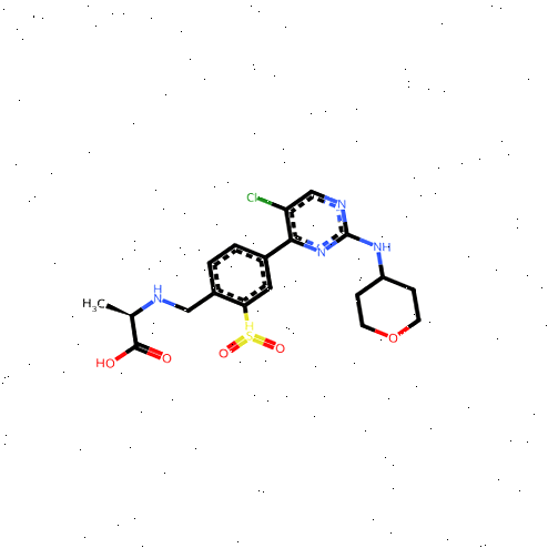 C[C@@H](NCc1ccc(-c2nc(NC3CCOCC3)ncc2Cl)cc1[SH](=O)=O)C(=O)O